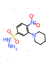 NNS(=O)(=O)c1ccc([N+](=O)[O-])c(N2CCCCC2)c1